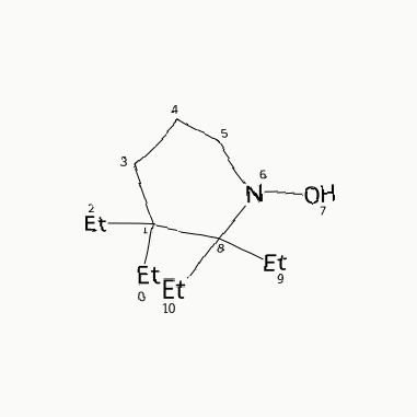 CCC1(CC)CCCN(O)C1(CC)CC